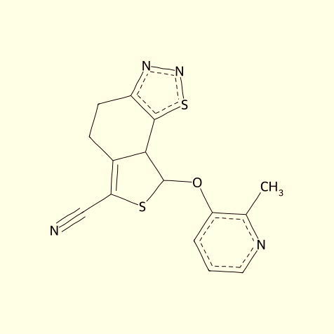 Cc1ncccc1OC1SC(C#N)=C2CCc3nnsc3C21